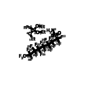 CCC[Si](OCC)(OCC)OCC.NS(=O)(=O)C(F)(F)C(F)(F)C(F)(F)C(F)(F)C(F)(F)C(F)(F)C(F)(F)C(F)(F)F